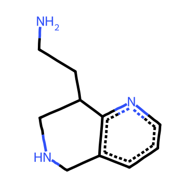 NCCC1CNCc2cccnc21